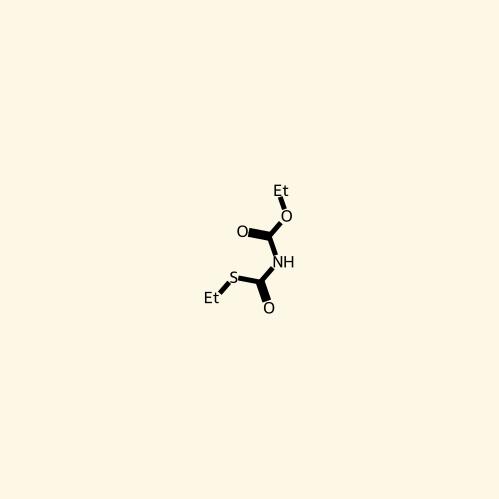 CCOC(=O)NC(=O)SCC